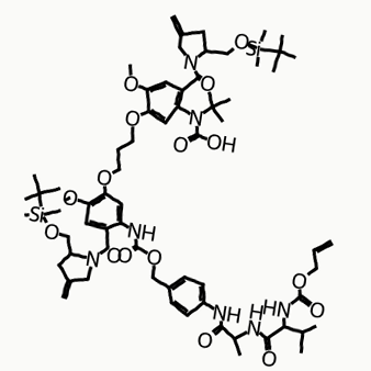 C=CCOC(=O)NC(C(=O)NC(C)C(=O)Nc1ccc(COC(=O)Nc2cc(OCCCOc3cc(N(C(=O)O)C(C)(C)C)c(C(=O)N4CC(=C)CC4CO[Si](C)(C)C(C)(C)C)cc3OC)c(OC)cc2C(=O)N2CC(=C)CC2CO[Si](C)(C)C(C)(C)C)cc1)C(C)C